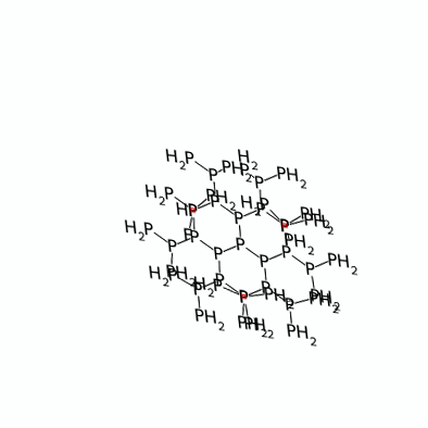 FPP(P(P)P)P(P(P(P)P)P(P)P)P(P(P(P(P)P)P(P)P)P(P(P)P)P(P)P)P(P(P(P)P)P(P)P)P(P(P)P)P(P)P